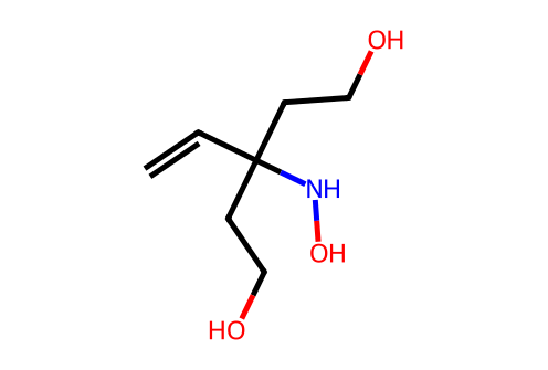 C=CC(CCO)(CCO)NO